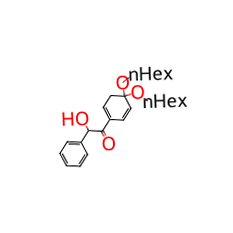 CCCCCCOC1(OCCCCCC)C=CC(C(=O)C(O)c2ccccc2)=CC1